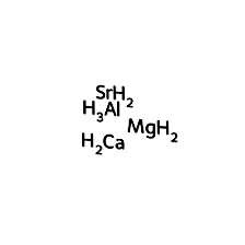 [AlH3].[CaH2].[MgH2].[SrH2]